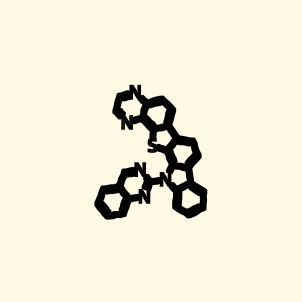 c1ccc2nc(-n3c4ccccc4c4ccc5c6ccc7nccnc7c6sc5c43)ncc2c1